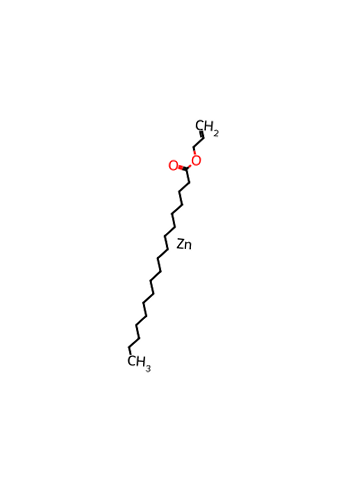 C=CCOC(=O)CCCCCCCCCCCCCCCCC.[Zn]